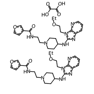 CCOCCn1c(NC2CCN(CCNC(=O)c3ccoc3)CC2)nc2cccnc21.CCOCCn1c(NC2CCN(CCNC(=O)c3ccoc3)CC2)nc2cccnc21.O=C(O)C(=O)O